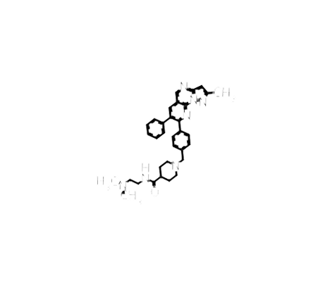 Cc1cc2ncc3cc(-c4ccccc4)c(-c4ccc(CN5CCC(C(=O)NCCN(C)C)CC5)cc4)nc3n2n1